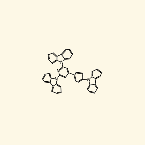 c1ccc2c(c1)c1ccccc1n2-c1ccc(-c2cc(-n3c4ccccc4c4ccccc43)nc(-n3c4ccccc4c4ccccc43)c2)cc1